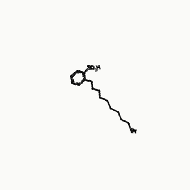 CC(C)CCCCCCCCCc1ccccc1S(=O)(=O)O